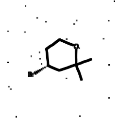 CC1(C)C[C@H](Br)CCO1